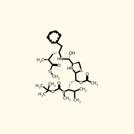 COC(=O)[C@@H](C)C[C@H](Cc1ccccc1)N[C@H](O)[C@H]1CSC([C@@H](C[C@H](C(C)C)N(C)C(=O)OC(C)(C)C)OC(C)=O)N1